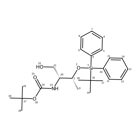 C[C@@H](O[Si](c1ccccc1)(c1ccccc1)C(C)(C)C)[C@@H](CO)NC(=O)OC(C)(C)C